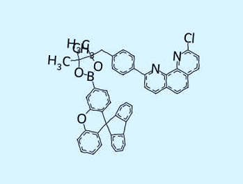 CC1(C)OB(c2ccc3c(c2)Oc2ccccc2C32c3ccccc3-c3ccccc32)OC1(C)Cc1ccc(-c2ccc3ccc4ccc(Cl)nc4c3n2)cc1